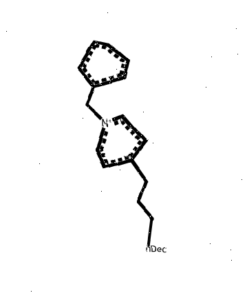 CCCCCCCCCCCCCc1cc[n+](Cc2ccccc2)cc1